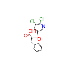 O=C(O)C1=Cc2ccccc2OC1c1cnc(Cl)c(Cl)c1